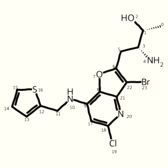 C[C@@H](O)[C@H](N)Cc1oc2c(NCc3cccs3)cc(Cl)nc2c1Br